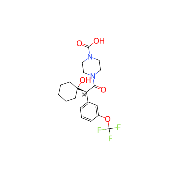 O=C(O)N1CCN(C(=O)[C@@H](c2cccc(OC(F)(F)F)c2)C2(O)CCCCC2)CC1